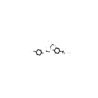 CC[C@H]1CN(CC(=O)Oc2ccc(Cl)cc2)c2ccc(C(O)(C(F)(F)F)C(F)(F)F)cc2S1